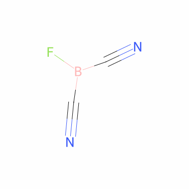 N#CB(F)C#N